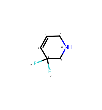 FC1(F)C=CCNC1